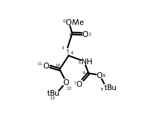 COC(=O)C[C@H](NC(=O)OC(C)(C)C)C(=O)OC(C)(C)C